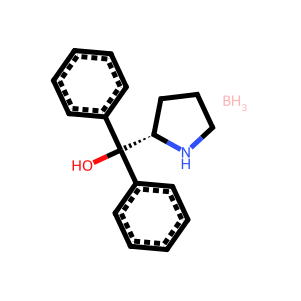 B.OC(c1ccccc1)(c1ccccc1)[C@@H]1CCCN1